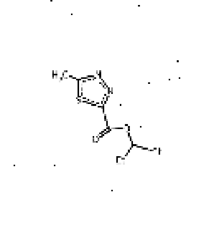 CCC(CC)OC(=O)c1nnc(C)s1